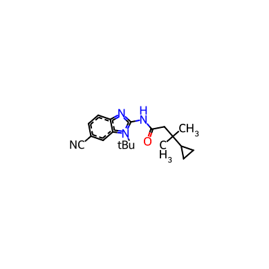 CC(C)(CC(=O)Nc1nc2ccc(C#N)cc2n1C(C)(C)C)C1CC1